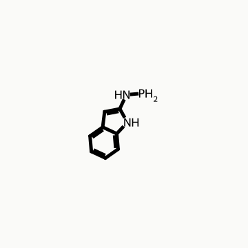 PNc1cc2ccccc2[nH]1